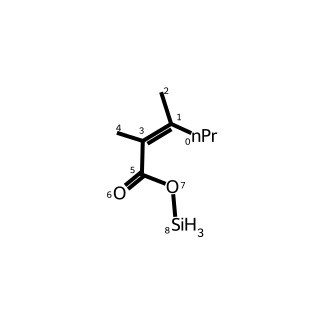 CCCC(C)=C(C)C(=O)O[SiH3]